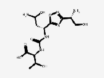 CC(O)[C@H](NC(=O)N[C@H](CC(N)O)c1nc([C@H](N)CO)no1)C(=O)O